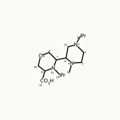 CC(C)N1CCN(C)C(C2COCC(C(=O)O)N2C(C)C)C1